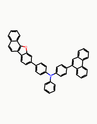 c1ccc(N(c2ccc(-c3ccc4c(c3)oc3c5ccccc5ccc43)cc2)c2ccc(-c3cc4ccccc4c4ccccc34)cc2)cc1